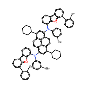 CC(C)c1ccccc1-c1cccc2c1oc1c(N(c3cccc(C(C)(C)C)c3)c3cc(C4CCCCC4)c4ccc5c(N(c6cccc(C(C)(C)C)c6)c6cccc7c6oc6c(-c8ccccc8C(C)C)cccc67)cc(C6CCCCC6)c6ccc3c4c65)cccc12